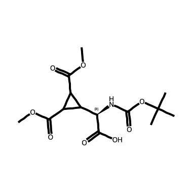 COC(=O)C1C(C(=O)OC)C1[C@@H](NC(=O)OC(C)(C)C)C(=O)O